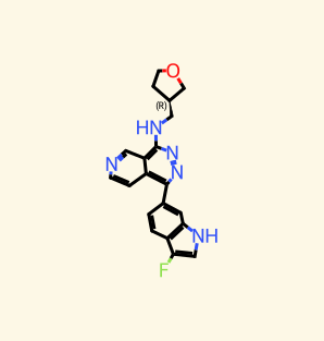 Fc1c[nH]c2cc(-c3nnc(NC[C@H]4CCOC4)c4cnccc34)ccc12